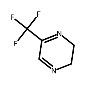 FC(F)(F)C1=NCCN=C1